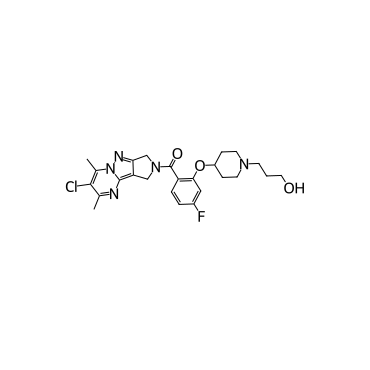 Cc1nc2c3c(nn2c(C)c1Cl)CN(C(=O)c1ccc(F)cc1OC1CCN(CCCO)CC1)C3